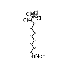 CCCCCCCCCCCCCCCCCC(Cl)[Si](Cl)(Cl)Cl